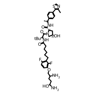 Cc1ncsc1-c1ccc([C@H](C)NC(=O)[C@@H]2C[C@@H](O)CN2C(=O)[C@@H](NC(=O)CCCCCc2c(F)ccc(OC[C@@H](N)CCC(N)O)c2F)C(C)(C)C)cc1